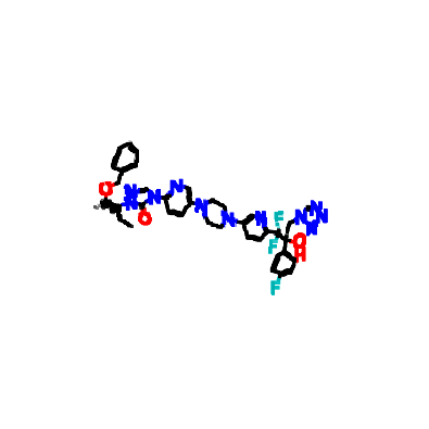 CC[C@@H]([C@H](C)OCc1ccccc1)n1ncn(-c2ccc(N3CCN(c4ccc(C(F)(F)C(O)(Cn5cnnn5)c5ccc(F)cc5)nc4)CC3)cn2)c1=O